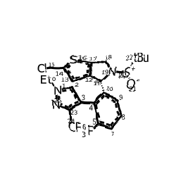 CCn1cc(-c2c(F)cccc2[C@@H]2c3cc(Cl)sc3CN2[S@+]([O-])C(C)(C)C)c(C(F)(F)F)n1